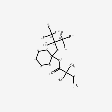 CCC(C)(C)C(=O)OC1(CC(O)(C(F)(F)F)C(F)(F)F)CCCCC1